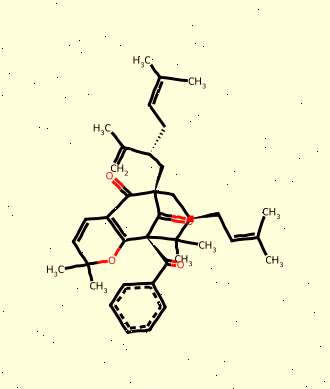 C=C(C)[C@H](CC=C(C)C)C[C@@]12C[C@@H](CC=C(C)C)C(C)(C)[C@@](C(=O)c3ccccc3)(C1=O)C1=C(C=CC(C)(C)O1)C2=O